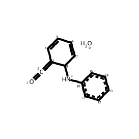 O.O=C=C1C=CC=CC1Nc1ccccc1